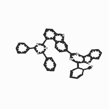 N#CC1C=CC=CC1c1nc(-c2ccc3c(c2)sc2cccc(-c4nc(-c5ccccc5)nc(-c5ccccc5)n4)c23)nc2c1sc1ccccc12